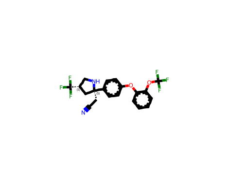 N#CC[C@]1(c2ccc(Oc3ccccc3OC(F)(F)F)cc2)C[C@H](C(F)(F)F)CN1